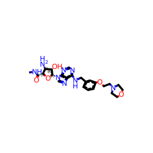 CNC(=O)[C@H]1O[C@@H](n2cnc3c(NCc4cccc(OCCN5CCOCC5)c4)ncnc32)[C@H](O)[C@@H]1N